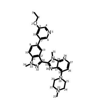 CCOc1cncc(-c2ccc3c(c2)c(-c2nc4c(N5CCN(C)CC5)ccnc4n2C)nn3C)c1